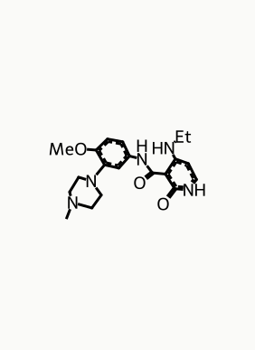 CCNc1cc[nH]c(=O)c1C(=O)Nc1ccc(OC)c(N2CCN(C)CC2)c1